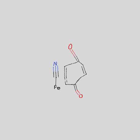 N#[C][Fe].O=C1C=CC(=O)C=C1